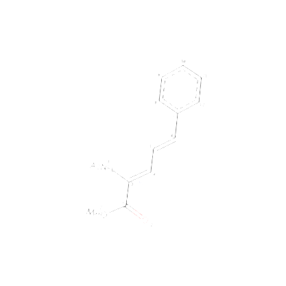 COC(=O)/C(=C/C=Cc1ccccc1)NC(C)=O